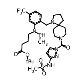 CPN(CCCC(=O)OC(C)(C)C)c1cc(C(F)(F)F)ccc1CN1CCCC12CCN(C(=O)n1ccc(NS(C)(=O)=O)n1)CC2